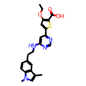 CCOc1cc(-c2cc(NCCc3ccc4c(c3)c(C)cn4C)ncn2)sc1C(=O)O